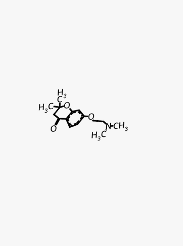 CN(C)CCOc1ccc2c(c1)OC(C)(C)CC2=O